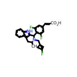 CC1Cc2c([nH]c3ccccc23)C(c2c(F)cc(/C=C/C(=O)O)cc2F)N1CC12CC(F)(C1)C2